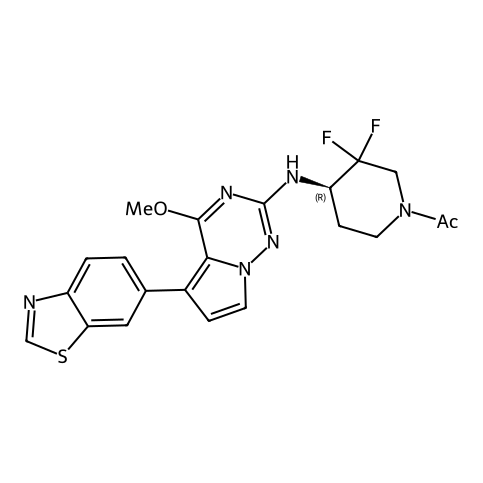 COc1nc(N[C@@H]2CCN(C(C)=O)CC2(F)F)nn2ccc(-c3ccc4ncsc4c3)c12